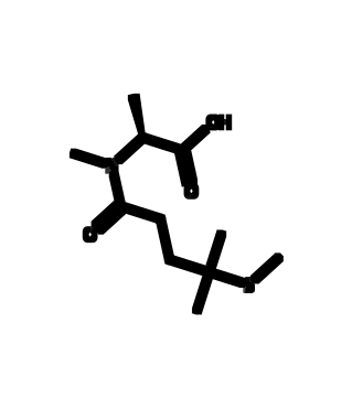 CSC(C)(C)CCC(=O)N(C)[C@@H](C)C(=O)O